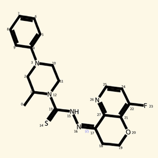 CC1CN(c2ccccc2)CCN1C(=S)N/N=C1/CCOc2c(F)ccnc21